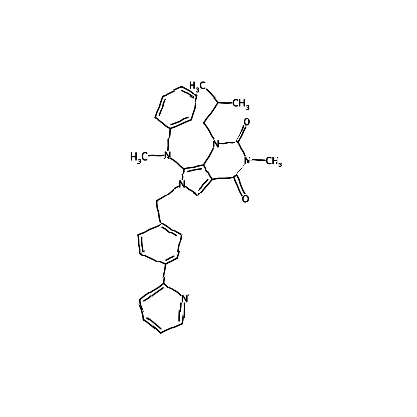 CC(C)Cn1c(=O)n(C)c(=O)c2cn(Cc3ccc(-c4ccccn4)cc3)c(N(C)c3ccccc3)c21